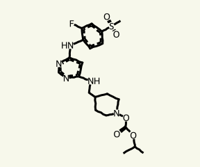 CC(C)OC(=O)ON1CCC(CNc2cc(Nc3ccc(S(C)(=O)=O)cc3F)ncn2)CC1